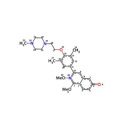 COc1c2ccc(=O)cc-2cc(-c2cc(C)c(OCCN3CCN(C)CC3)c(C)c2)n1OC